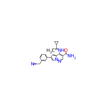 C[C@@H](Nc1c(C(N)=O)cnn2cc(-c3cccc(CC#N)c3)cc12)C1CC1